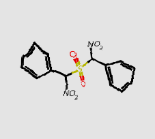 O=[N+]([O-])C(c1ccccc1)S(=O)(=O)C(c1ccccc1)[N+](=O)[O-]